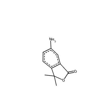 CC1(C)OC(=O)c2cc(N)ccc21